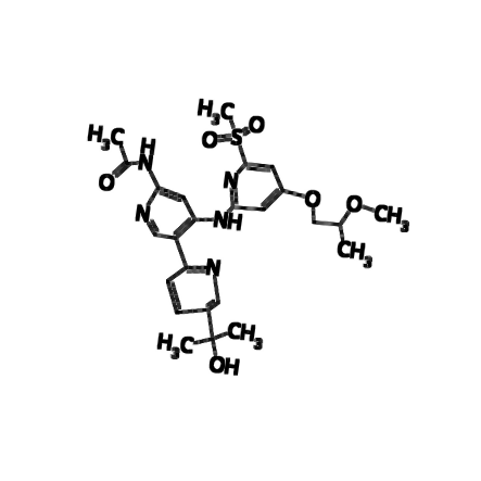 COC(C)COc1cc(Nc2cc(NC(C)=O)ncc2-c2ccc(C(C)(C)O)cn2)nc(S(C)(=O)=O)c1